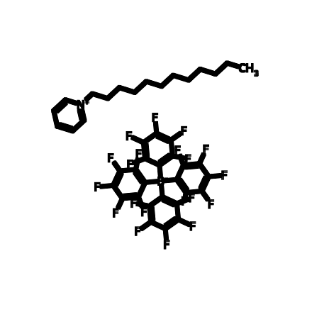 CCCCCCCCCCCC[n+]1ccccc1.Fc1c(F)c(F)c([B-](c2c(F)c(F)c(F)c(F)c2F)(c2c(F)c(F)c(F)c(F)c2F)c2c(F)c(F)c(F)c(F)c2F)c(F)c1F